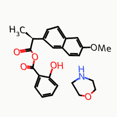 C1COCCN1.COc1ccc2cc([C@H](C)C(=O)OC(=O)c3ccccc3O)ccc2c1